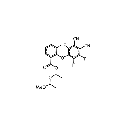 COC(C)OC(C)OC(=O)c1cccc(C)c1Oc1c(F)c(F)c(C#N)c(C#N)c1F